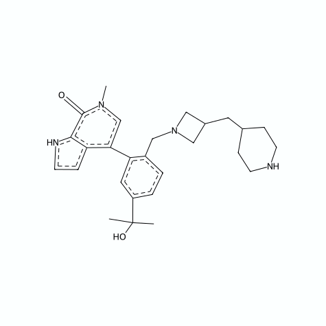 Cn1cc(-c2cc(C(C)(C)O)ccc2CN2CC(CC3CCNCC3)C2)c2cc[nH]c2c1=O